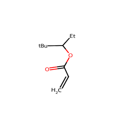 C=CC(=O)OC(CC)C(C)(C)C